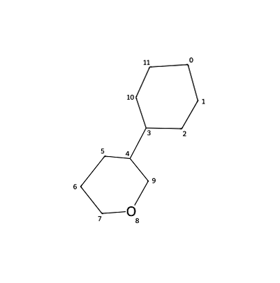 C1CCC(C2CCCOC2)CC1